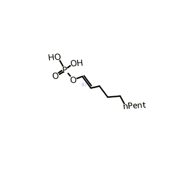 CCCCCCCC/C=C/OP(=O)(O)O